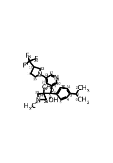 CC(C)c1ccc([C@](O)(c2cncc(N3CCC(C(F)(F)F)C3)c2)C2(C)CN(C)C2)cc1